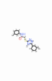 Cc1cccc(NC(=O)CSc2nnc(-c3cccc(C)c3)n2C)c1